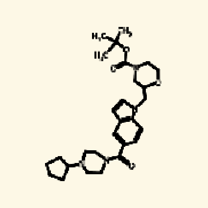 CC(C)(C)OC(=O)N1CCOC(Cn2ccc3cc(C(=O)N4CCN(C5CCCC5)CC4)ccc32)C1